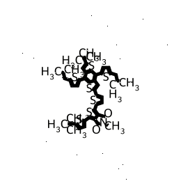 CC(C)Cc1ccc(-c2c3cc(C(C)(C)C)sc3c(-c3ccc(CC(C)C)s3)c3cc(-c4ccc(-c5sc(-c6ccc(C(C)(C)C)s6)c6c5C(=O)N(C)C6=O)s4)sc23)s1